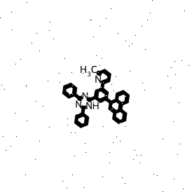 Cc1cccc(-c2cc(C3=NC(c4ccccc4)=NC(c4ccccc4)N3)cc(C3C=c4ccccc4=C4C=CC=CC43)c2)n1